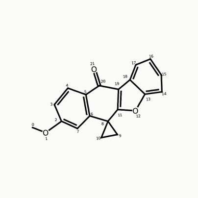 COc1ccc2c(c1)C1(CC1)c1oc3ccccc3c1C2=O